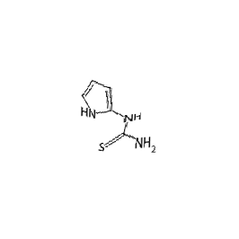 NC(=S)Nc1ccc[nH]1